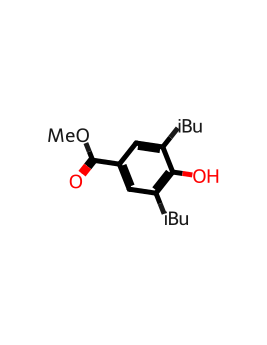 CCC(C)c1cc(C(=O)OC)cc(C(C)CC)c1O